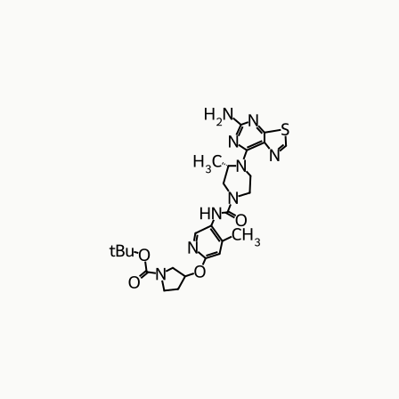 Cc1cc(OC2CCN(C(=O)OC(C)(C)C)C2)ncc1NC(=O)N1CCN(c2nc(N)nc3scnc23)[C@@H](C)C1